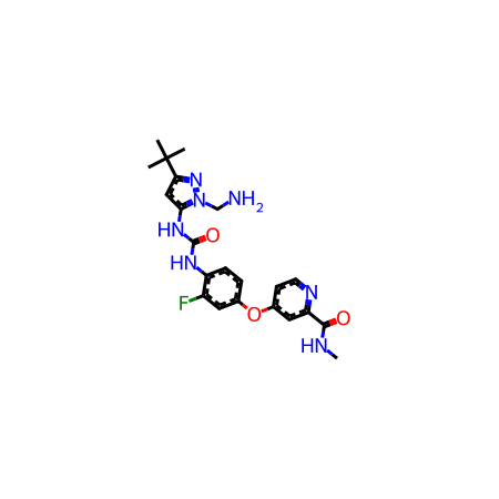 CNC(=O)c1cc(Oc2ccc(NC(=O)Nc3cc(C(C)(C)C)nn3CN)c(F)c2)ccn1